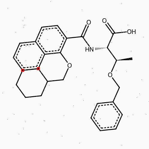 C[C@@H](OCc1ccccc1)[C@H](NC(=O)c1ccc2ccccc2c1OCC1CCCCC1)C(=O)O